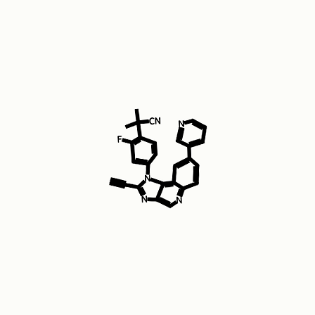 C#Cc1nc2cnc3ccc(-c4cccnc4)cc3c2n1-c1ccc(C(C)(C)C#N)c(F)c1